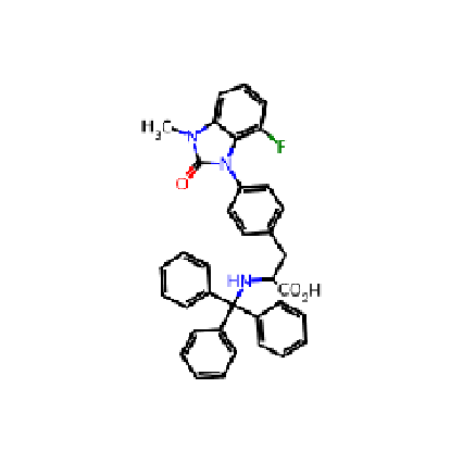 Cn1c(=O)n(-c2ccc(CC(NC(c3ccccc3)(c3ccccc3)c3ccccc3)C(=O)O)cc2)c2c(F)cccc21